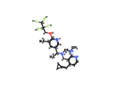 CNc1nccc(C=C2CC2)c1CN(C)C(C)c1cnc(OCC(F)(F)C(F)F)c(C)c1